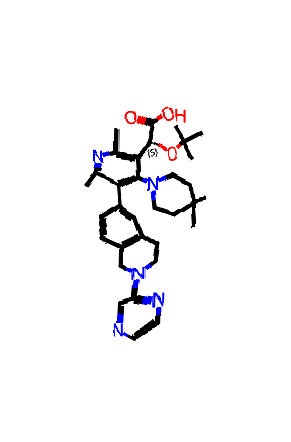 Cc1nc(C)c([C@H](OC(C)(C)C)C(=O)O)c(N2CCC(C)(C)CC2)c1-c1ccc2c(c1)CCN(c1cnccn1)C2